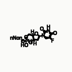 CCCCCCCCCO[PH]1(O)OC[C@H]2O[C@@H](n3cc(F)c(=O)[nH]c3=O)C[C@@H]2O1